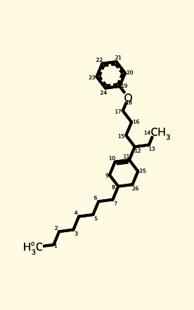 CCCCCCCCC1CC=C(C(CC)CCCOc2ccccc2)CC1